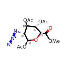 COC(=O)[C@H]1O[C@@H](OC(C)=O)[C@H](N=[N+]=[N-])[C@@H](OC(C)=O)[C@@H]1OC(C)=O